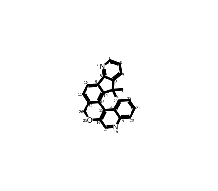 CC1(C)c2cccnc2-c2ccc3c(c21)-c1c(cnc2ccccc12)OC3